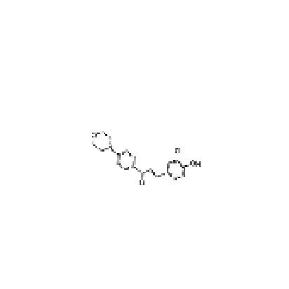 O=C(C=Cc1ccc(O)c(Cl)c1)c1ccc(N2CCOCC2)cc1